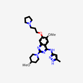 COc1cc2c(Nc3cc(C)[nH]n3)nc(N3CCC(OC)CC3)nc2cc1OCCCN1CCCC1